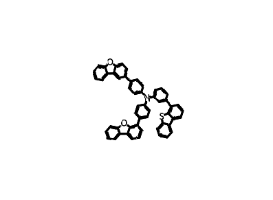 c1cc(-c2cccc3c2sc2ccccc23)cc(N(c2ccc(-c3ccc4oc5ccccc5c4c3)cc2)c2ccc(-c3cccc4c3oc3ccccc34)cc2)c1